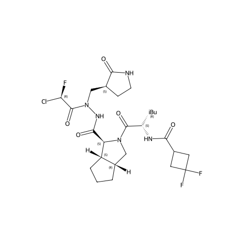 CC[C@@H](C)[C@H](NC(=O)C1CC(F)(F)C1)C(=O)N1C[C@@H]2CCC[C@@H]2[C@H]1C(=O)NN(C[C@@H]1CCNC1=O)C(=O)[C@H](F)Cl